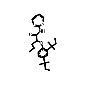 CCCC(Oc1ccc(C(C)(C)CC)cc1C(C)(C)CC)C(=O)NC1=NC=CC=CS1